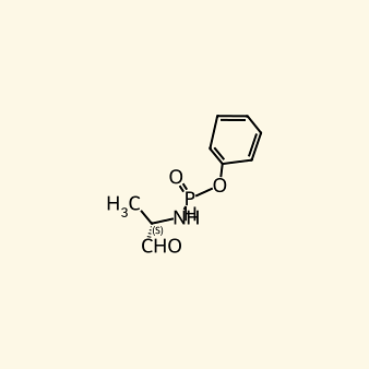 C[C@@H](C=O)N[PH](=O)Oc1ccccc1